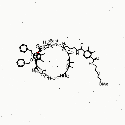 CCCCC[C@H]1CN2CCNC(=O)c3ccc(c(C)c3C)C(=O)NCCN(CCNC(=O)c3ccc(c(C)c3C)C(=O)N[C@@H](CCCNC(=O)c3ccc(C(=O)NCCOCCOC)c(C)c3C)C2)CCNC(=O)c2ccc(c(OCc3ccccc3)c2OCc2ccccc2)C(=O)N1